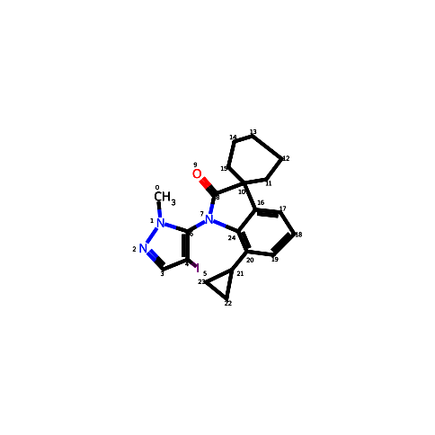 Cn1ncc(I)c1N1C(=O)C2(CCCCC2)c2cccc(C3CC3)c21